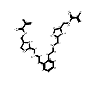 C=C(C)C(=O)SCC1CSC(CSCCc2ccccc2CCSCC2SCC(CSC(=O)C(=C)C)S2)S1